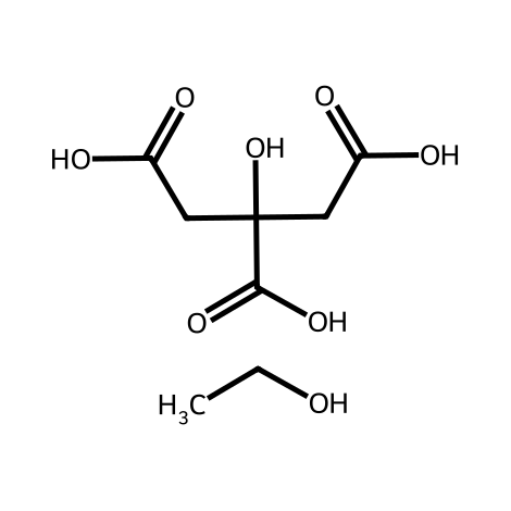 CCO.O=C(O)CC(O)(CC(=O)O)C(=O)O